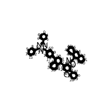 c1ccc(-c2nc(-c3ccccc3)nc(-c3ccc(-c4ccc(-c5cc6oc7ccccc7c6c6oc(-c7c8ccccc8cc8ccccc78)nc56)c5ccccc45)cc3)n2)cc1